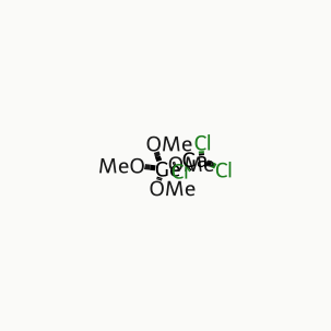 C[O][Ge]([O]C)([O]C)[O]C.[Cl][Ga]([Cl])[Cl]